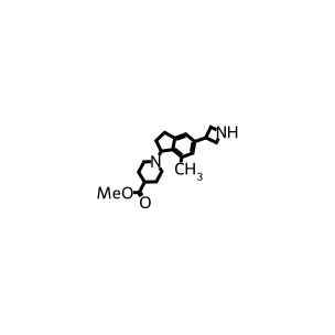 COC(=O)C1CCN(C2CCc3cc(C4CNC4)cc(C)c32)CC1